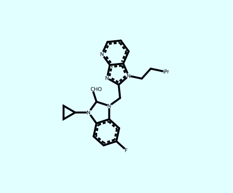 CC(C)CCn1c(CN2c3cc(F)ccc3N(C3CC3)C2C=O)nc2ncccc21